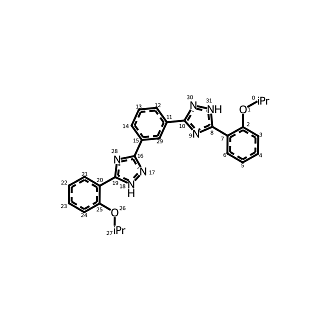 CC(C)Oc1ccccc1-c1nc(-c2cccc(-c3n[nH]c(-c4ccccc4OC(C)C)n3)c2)n[nH]1